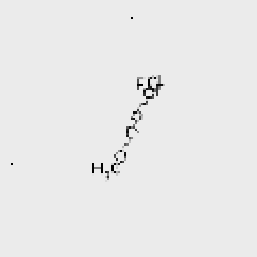 C[C@H]1CC[C@H](CC[C@H]2CC[C@H](c3ccc(CCc4cc(F)c(Cl)c(F)c4)cc3)CC2)CC1